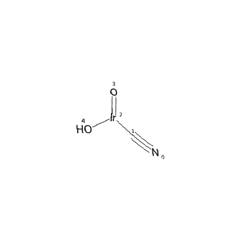 N#[C][Ir](=[O])[OH]